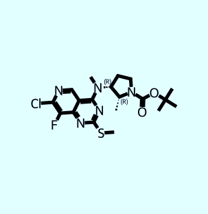 CSc1nc(N(C)[C@@H]2CCN(C(=O)OC(C)(C)C)[C@@H]2C)c2cnc(Cl)c(F)c2n1